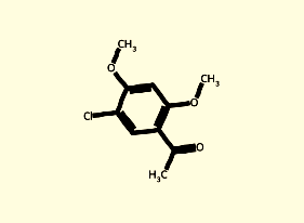 COc1cc(OC)c(C(C)=O)cc1Cl